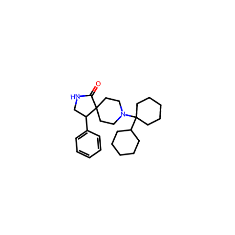 O=C1NCC(c2ccccc2)C12CCN(C1(C3CCCCC3)CCCCC1)CC2